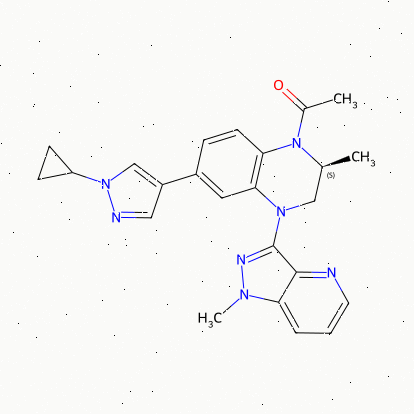 CC(=O)N1c2ccc(-c3cnn(C4CC4)c3)cc2N(c2nn(C)c3cccnc23)C[C@@H]1C